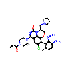 C=CC(=O)N1CCN(c2nc(=O)n3c4c(c(-c5c(C)ccc(N)c5N=N)c(Cl)cc24)OCC3CN2CCCC2)[C@@H](C)C1